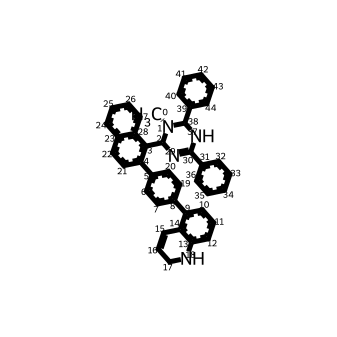 CN1C(c2c(-c3ccc(-c4cccc5c4C=CCN5)cc3)ccc3ccccc23)N=C(c2ccccc2)NC1c1ccccc1